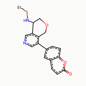 CCSNC1COCc2c(-c3ccc4oc(=O)ccc4c3)cncc21